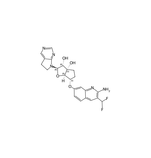 Nc1nc2cc(O[C@H]3CC[C@@]4(O)[C@@H]3O[C@@H](N3CCc5cncnc53)[C@@H]4O)ccc2cc1C(F)F